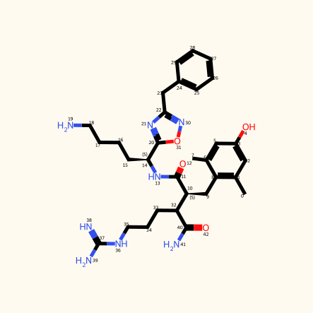 Cc1cc(O)cc(C)c1C[C@H](C(=O)N[C@@H](CCCCN)c1nc(Cc2ccccc2)no1)C(CCCNC(=N)N)C(N)=O